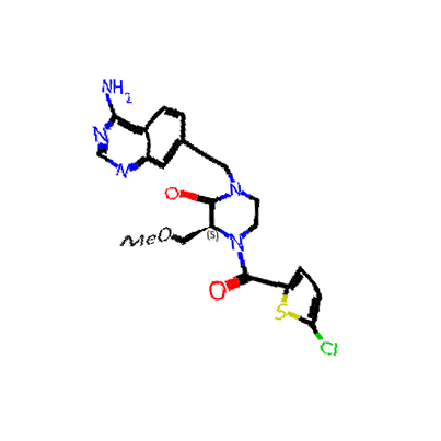 COC[C@H]1C(=O)N(Cc2ccc3c(N)ncnc3c2)CCN1C(=O)c1ccc(Cl)s1